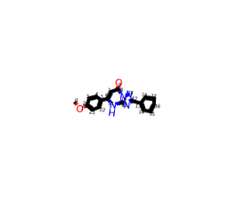 COc1ccc(-c2cc(=O)n3nc(-c4ccccc4)nc3[nH]2)cc1